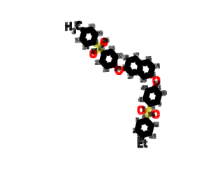 CCc1ccc(S(=O)(=O)c2ccc(Oc3ccc4ccc(Oc5ccc(S(=O)(=O)c6ccc(C)cc6)cc5)cc4c3)cc2)cc1